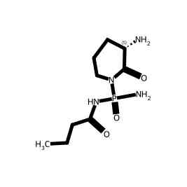 CCCC(=O)NP(N)(=O)N1CCC[C@H](N)C1=O